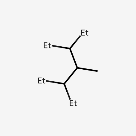 CCC(CC)C(C)C(CC)CC